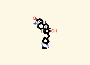 CN1C(=O)C=C[C@@]2(C)C1CC[C@@H]1[C@H]2CC[C@]2(C)C(O)C(=Cc3ccc4nccnc4c3)C[C@@H]12